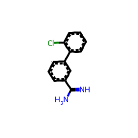 N=C(N)c1cc[c]c(-c2ccccc2Cl)c1